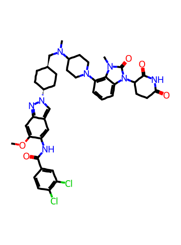 COc1cc2nn([C@H]3CC[C@H](CN(C)C4CCN(c5cccc6c5n(C)c(=O)n6C5CCC(=O)NC5=O)CC4)CC3)cc2cc1NC(=O)c1ccc(Cl)c(Cl)c1